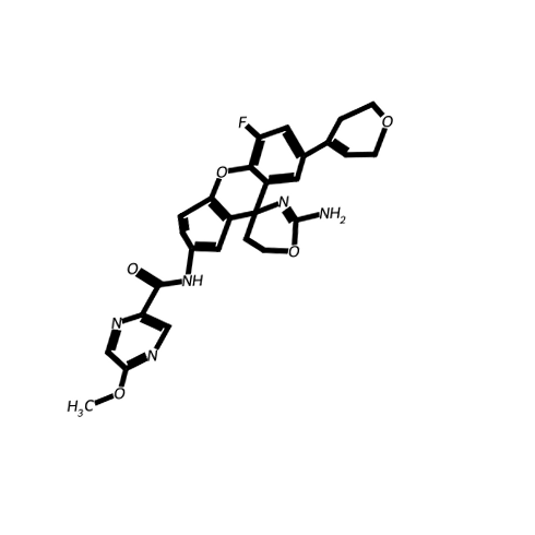 COc1cnc(C(=O)Nc2ccc3c(c2)C2(CCOC(N)=N2)c2cc(C4=CCOCC4)cc(F)c2O3)cn1